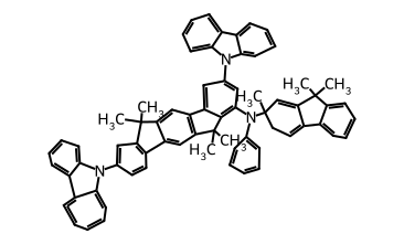 CC1(C)C2=CC(C)(N(c3ccccc3)c3cc(-n4c5ccccc5c5ccccc54)cc4c3C(C)(C)c3cc5c(cc3-4)C(C)(C)c3cc(-n4c6c(c7ccccc74)=C=CC=CC=6)ccc3-5)CC=C2c2ccccc21